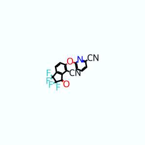 N#Cc1cccc(Oc2ccc3c(c2C#N)C(=O)C(F)(F)C3(F)F)n1